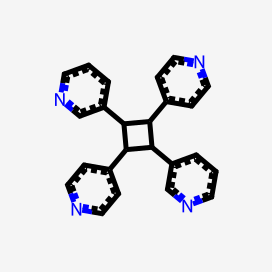 c1cncc(C2C(c3ccncc3)C(c3cccnc3)C2c2ccncc2)c1